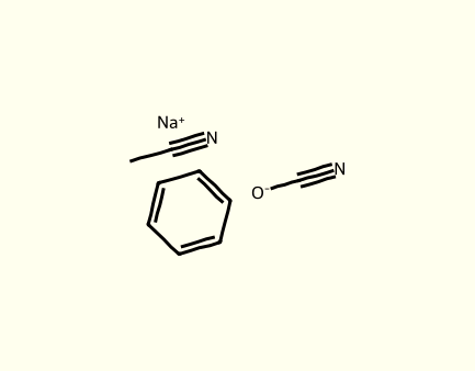 CC#N.N#C[O-].[Na+].c1ccccc1